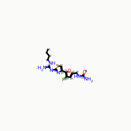 CCCCNC(N)=Nc1nc(-c2oc(CNC(N)=O)cc2F)cs1